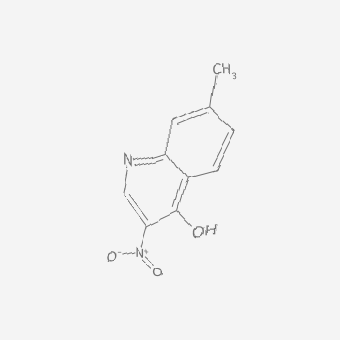 Cc1ccc2c(O)c([N+](=O)[O-])cnc2c1